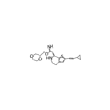 N=C(/C=C1\NCCc2cc(C#CC3CC3)sc21)OCC1COCCO1